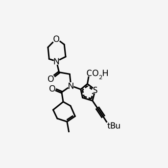 CC1=CCC(C(=O)N(CC(=O)N2CCOCC2)c2cc(C#CC(C)(C)C)sc2C(=O)O)CC1